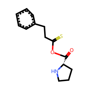 O=C(OC(=S)CCc1ccccc1)[C@@H]1CCCN1